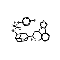 O=S(=O)(Nc1ccc(F)cc1)NC1C2CC3CC1CC(C(O)CC1c4c(F)cccc4-c4cncn41)(C3)C2